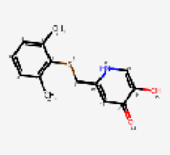 Cc1cccc(C)c1SCc1cc(=O)c(O)c[nH]1